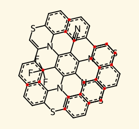 N#Cc1c(N2C(c3ccccc3)=CSc3ccccc32)c(N2C(c3ccccc3)=CSc3ccccc32)c(N2C(c3ccccc3)=CSc3ccccc32)c(C(F)(F)F)c1N1C(c2ccccc2)=CSc2ccccc21